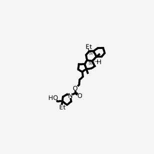 CC[C@H]1CC2C3CCC(CCCOC(=O)N4CCC(CC)(CO)CC4)C3(C)CC[C@@H]2C2(C)CCCCC12